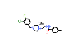 Cc1ccc(C(=O)N[C@@H](CN2CCN(Cc3ccc(F)c(Cl)c3)CC2)C(C)(C)C)cc1